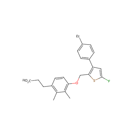 CCc1ccc(-c2cc(F)sc2COc2ccc(CCC(=O)O)c(C)c2C)cc1